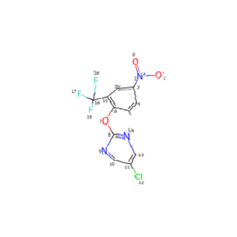 O=[N+]([O-])c1ccc(Oc2ncc(Cl)cn2)c(C(F)(F)F)c1